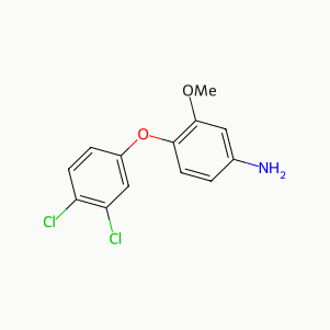 COc1cc(N)ccc1Oc1ccc(Cl)c(Cl)c1